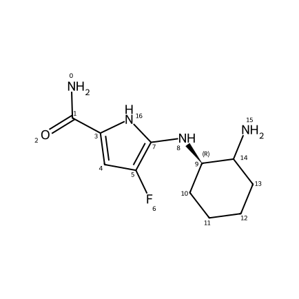 NC(=O)c1cc(F)c(N[C@@H]2CCCCC2N)[nH]1